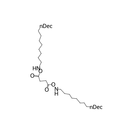 CCCCCCCCCCCCCCCCCCNOC(=O)CCC(=O)ONCCCCCCCCCCCCCCCCCC